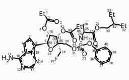 CCC(=O)O[C@H]1[C@H](c2ccc3c(N)ncnn23)O[C@](CF)(CO[P@@](=O)(NC(C)C(=O)OCC(CC)CC)Oc2ccccc2)[C@H]1OC(=O)CC